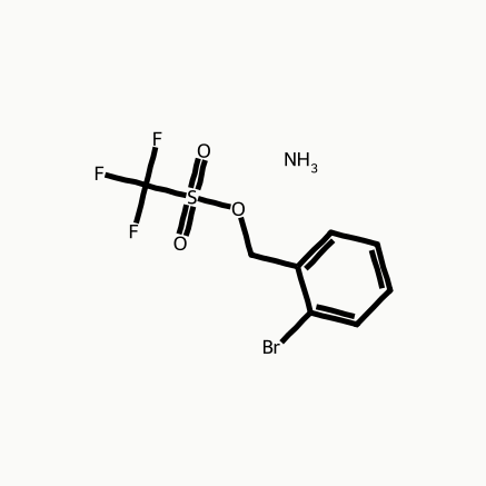 N.O=S(=O)(OCc1ccccc1Br)C(F)(F)F